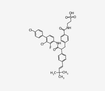 CC(C)(C)/C=C/c1ccc(C(Cc2ccc(C(=O)NCCS(=O)(=O)O)cc2)C(=O)Nc2ccc(-c3ccc(Cl)cc3)c(Cl)c2F)cc1